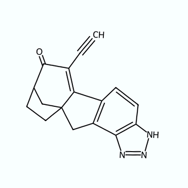 C#CC1=C2c3ccc4[nH]nnc4c3CC23CCC(C3)C1=O